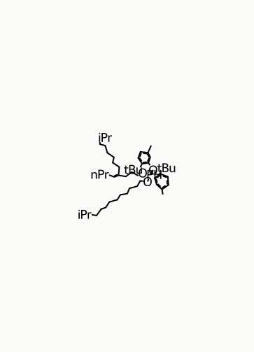 CCCC=C(CCCCCCC(C)C)CCCO[PH](OCCCCCCCCCCC(C)C)(Oc1cc(C)ccc1C(C)(C)C)c1cc(C)ccc1C(C)(C)C